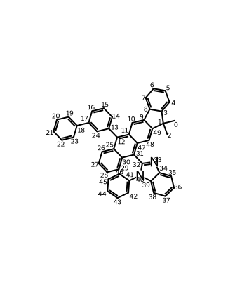 CC1(C)c2ccccc2-c2cc3c(-c4cccc(-c5ccccc5)c4)c4ccccc4c(-c4nc5ccccc5n4-c4ccccc4)c3cc21